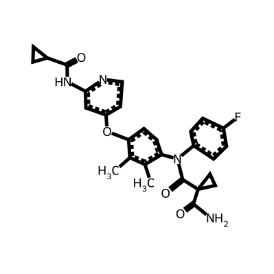 Cc1c(Oc2ccnc(NC(=O)C3CC3)c2)ccc(N(C(=O)C2(C(N)=O)CC2)c2ccc(F)cc2)c1C